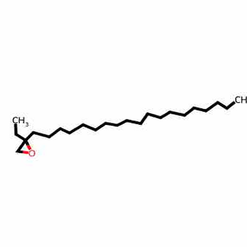 CCCCCCCCCCCCCCCCCCCC1(CC)CO1